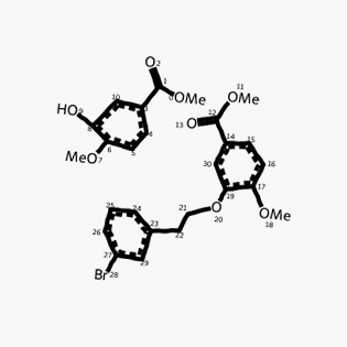 COC(=O)c1ccc(OC)c(O)c1.COC(=O)c1ccc(OC)c(OCCc2cccc(Br)c2)c1